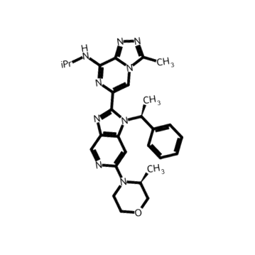 Cc1nnc2c(NC(C)C)nc(-c3nc4cnc(N5CCOC[C@@H]5C)cc4n3[C@@H](C)c3ccccc3)cn12